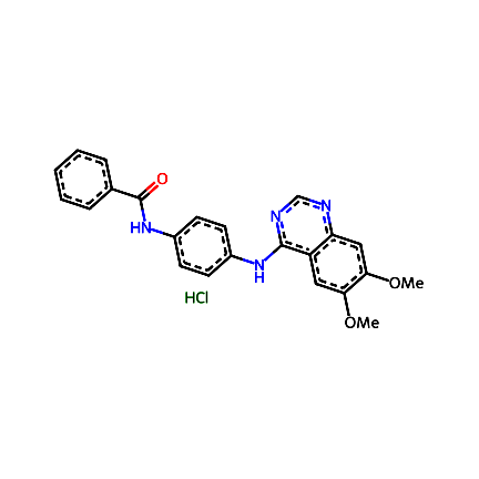 COc1cc2ncnc(Nc3ccc(NC(=O)c4ccccc4)cc3)c2cc1OC.Cl